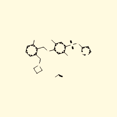 O=CO.O=S(=O)(Nc1ccon1)c1cc(Cl)c(NCc2c(F)cccc2CN2CCC2)cc1F